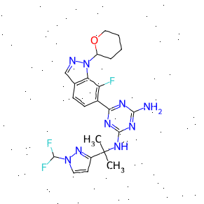 CC(C)(Nc1nc(N)nc(-c2ccc3cnn(C4CCCCO4)c3c2F)n1)c1ccn(C(F)F)n1